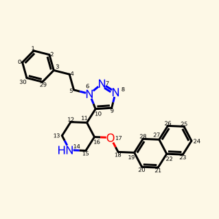 c1ccc(CCn2nncc2C2CCNCC2OCc2ccc3ccccc3c2)cc1